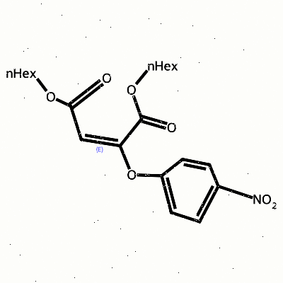 CCCCCCOC(=O)/C=C(/Oc1ccc([N+](=O)[O-])cc1)C(=O)OCCCCCC